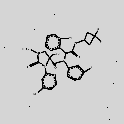 CC(C)(C)C1(C(=O)N(c2cccc(F)c2)[C@H](C(=O)NC2CC(F)(F)C2)c2ccccc2Cl)CN(C(=O)O)C(=O)N1c1cc(C#N)ccn1